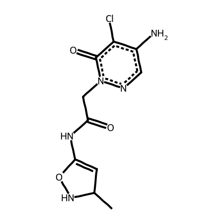 CC1C=C(NC(=O)Cn2ncc(N)c(Cl)c2=O)ON1